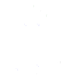 CCC(=O)N(C)C(C#N)c1ccc(-c2noc(C(F)(F)F)n2)cc1